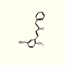 Cc1ccc(C(C)(C)C)cc1C=CC(Cl)=Cc1ccccc1